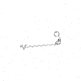 CCCCCCCCCCCCCCN1C=CN(Cc2ccccc2)C1